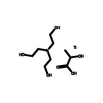 CC(O)C(=O)O.OCCN(CCO)CCO.[Ti]